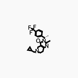 Cc1nc2c(c(=O)n1[C@@H](C)c1ccc(C(F)(F)F)cc1)CN(CC1CC1)CC2